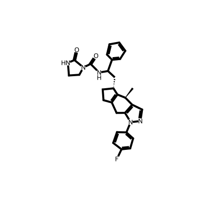 C[C@@H]1C2=C(CC[C@@H]2CC(NC(=O)N2CCNC2=O)c2ccccc2)Cc2c1cnn2-c1ccc(F)cc1